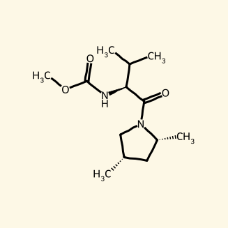 COC(=O)N[C@H](C(=O)N1C[C@@H](C)C[C@H]1C)C(C)C